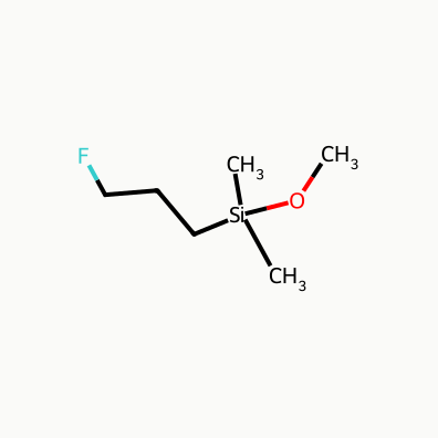 CO[Si](C)(C)CCCF